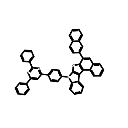 c1ccc(-c2cc(-c3ccc(-n4c5ccccc5c5c6c(oc54)c(-c4ccc5ccccc5c4)cc4ccccc46)cc3)nc(-c3ccccc3)n2)cc1